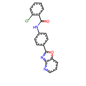 O=C(Nc1ccc(-c2nc3ncccc3o2)cc1)c1ccccc1Cl